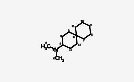 CN(C)C1CCC2(CCCCC2)CC1